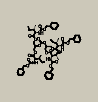 CC[C@H](C)[C@H](NC(=O)OCc1ccccc1)C(=O)OCC(COC(=O)[C@@H](NC(=O)OCc1ccccc1)[C@@H](C)CC)OC(=O)OC(COC(=O)[C@@H](NC(=O)OCc1ccccc1)[C@@H](C)CC)COC(=O)[C@@H](NC(=O)OCc1ccccc1)[C@@H](C)CC